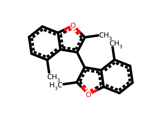 Cc1oc2cccc(C)c2c1-c1c(C)oc2cccc(C)c12